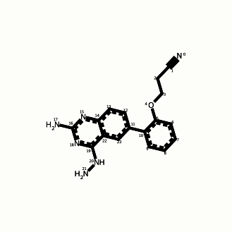 N#CCCOc1ccccc1-c1ccc2nc(N)nc(NN)c2c1